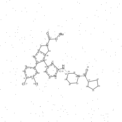 CC(C)(C)OC(=O)N1Cc2nc(-c3ccc(Cl)c(Cl)c3)n(-c3ccnc(N[C@H]4CCCN(C(=O)C5CCCC5)C4)n3)c2C1